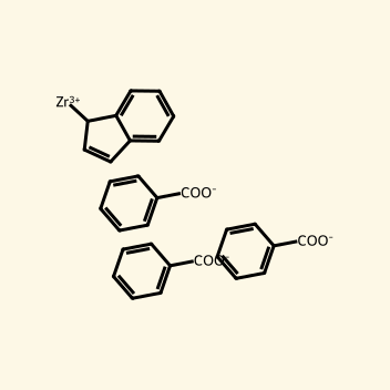 O=C([O-])c1ccccc1.O=C([O-])c1ccccc1.O=C([O-])c1ccccc1.[Zr+3][CH]1C=Cc2ccccc21